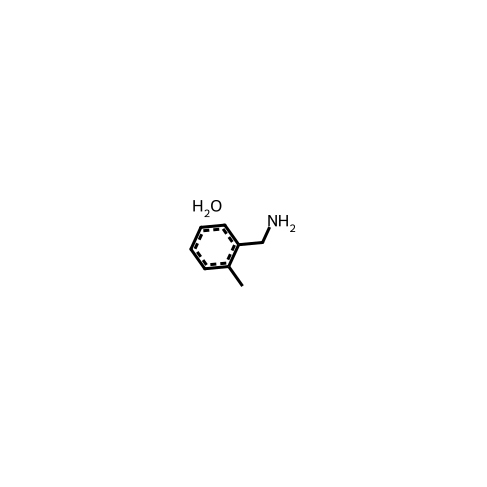 Cc1ccccc1CN.O